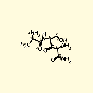 CC(N)C(=O)NC(CO)C(=O)C(N)C(N)=O